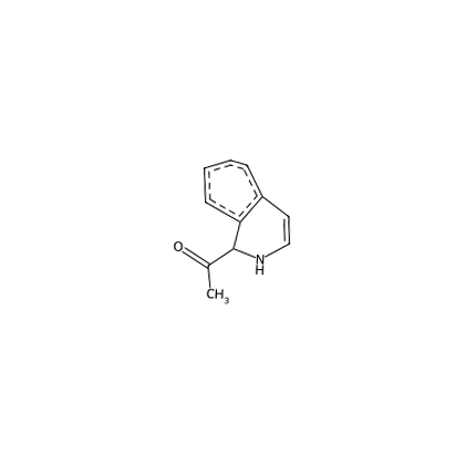 CC(=O)C1NC=Cc2ccccc21